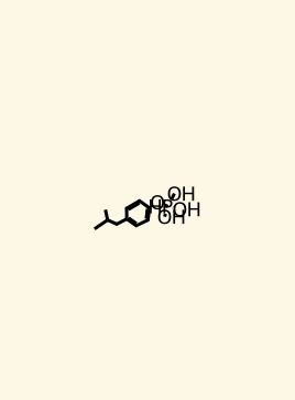 CC(C)Cc1ccc(O[PH](O)(O)O)cc1